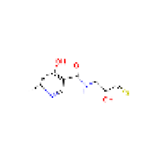 Cc1cc(O)c(C(=O)NCC(O)[C]=S)cn1